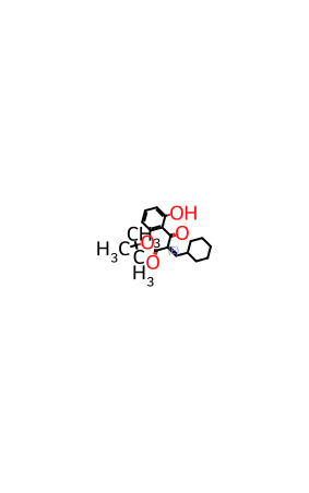 CC(C)(C)OC(=O)/C(=C/C1CCCCC1)C(=O)c1ccccc1O